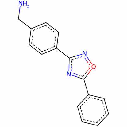 NCc1ccc(-c2noc(-c3ccccc3)n2)cc1